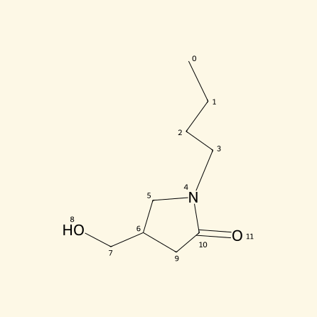 CCCCN1CC(CO)CC1=O